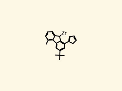 Cc1cccc2c1-c1cc(C(C)(C)C)cc(C3=CC=CC3)c1[CH]2[Zr]